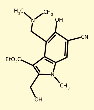 CCOC(=O)c1c(CO)n(C)c2cc(C#N)c(O)c(CN(C)C)c12